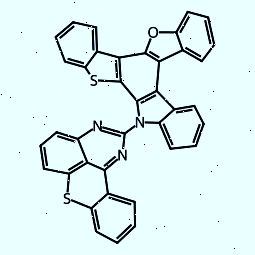 c1ccc2c(c1)Sc1cccc3nc(-n4c5ccccc5c5c6c7ccccc7oc6c6c7ccccc7sc6c54)nc-2c13